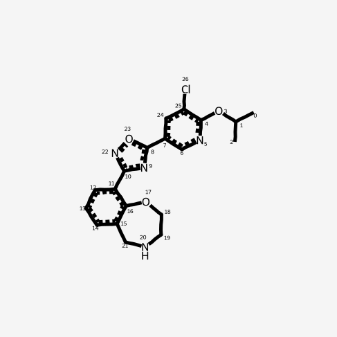 CC(C)Oc1ncc(-c2nc(-c3cccc4c3OCCNC4)no2)cc1Cl